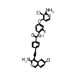 Nc1nccc(Oc2ccc(NC(=O)c3ccc(C#Cc4c(N)ncc5ccc(Cl)cc45)cc3)c(F)c2)c1Cl